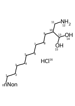 CCCCCCCCCCCCCCCCCCC(CN)C(O)O.Cl